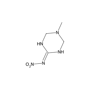 CN1CNC(=N[N+](=O)[O-])NC1